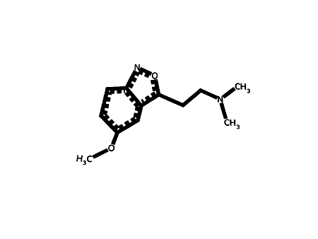 COc1ccc2noc(CCN(C)C)c2c1